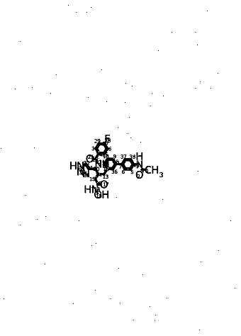 CC(=O)Nc1ccc(-c2cccc(CC(CC(=O)NO)C(NC(=O)c3ccc(F)cc3)c3c[nH]nn3)c2)cc1